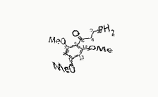 COc1cc(OC)c(C(=O)CCP)c(OC)c1